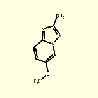 Nc1nc2ccc(OC(F)(F)F)cn2n1